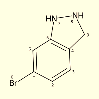 Brc1ccc2c(c1)NNC2